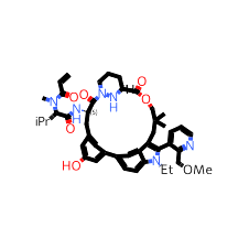 C=CC(=O)N(C)C(C(=O)N[C@H]1Cc2cc(O)cc(c2)-c2ccc3c(c2)c(c(-c2cccnc2COC)n3CC)CC(C)(C)COC(=O)[C@@H]2CCCN(N2)C1=O)C(C)C